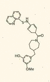 COc1cc(O)cc(CC2CCCN(C(=O)C3C=CC(NSc4cccc5cccnc45)=CC3)CC2)c1